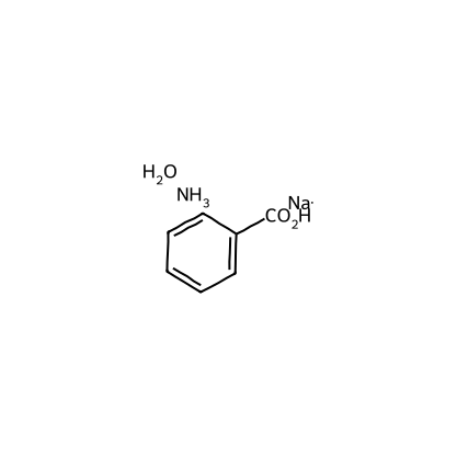 N.O.O=C(O)c1ccccc1.[Na]